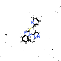 Cn1nccc1-n1c(SCc2ccccn2)nc2ccccc21